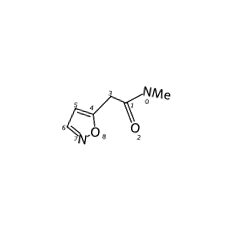 CNC(=O)Cc1ccno1